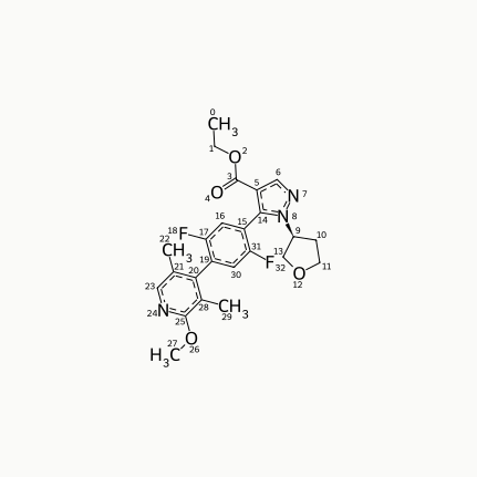 CCOC(=O)c1cnn([C@H]2CCOC2)c1-c1cc(F)c(-c2c(C)cnc(OC)c2C)cc1F